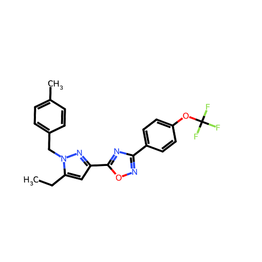 CCc1cc(-c2nc(-c3ccc(OC(F)(F)F)cc3)no2)nn1Cc1ccc(C)cc1